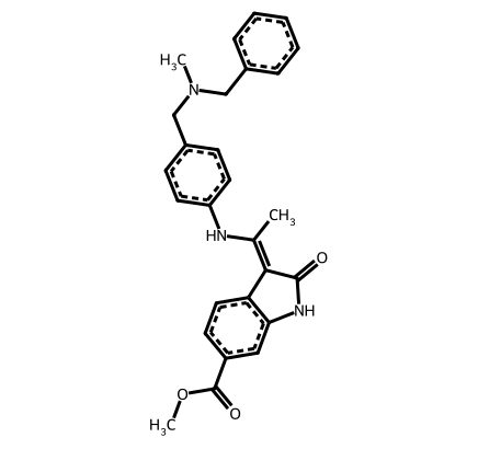 COC(=O)c1ccc2c(c1)NC(=O)C2=C(C)Nc1ccc(CN(C)Cc2ccccc2)cc1